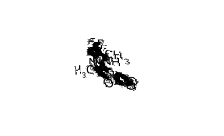 Cc1nnc(N[C@H](C)c2cccc(C(F)F)c2F)c2cn(C3CCS(=O)(=O)CC3)c(=O)cc12